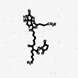 NCCCCC(C(=O)CCCCCNC(=O)[C@@]1(CCCCC(=O)O)SC[C@@H]2NC(=O)N[C@@H]21)C(=O)ON1C(=O)CCC1=O